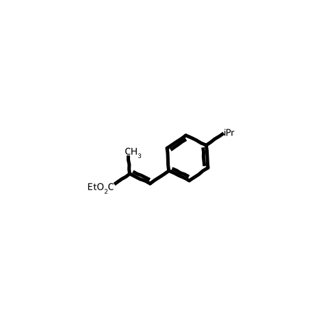 CCOC(=O)/C(C)=C/c1ccc(C(C)C)cc1